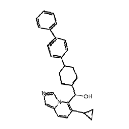 OC(c1c(C2CC2)ccc2cncn12)C1CCC(c2ccc(-c3ccccc3)cc2)CC1